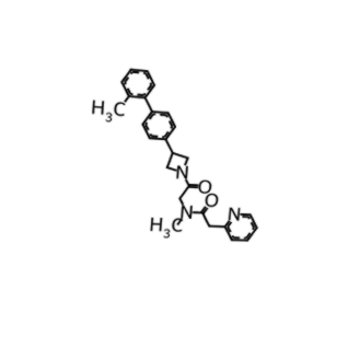 Cc1ccccc1-c1ccc(C2CN(C(=O)CN(C)C(=O)Cc3ccccn3)C2)cc1